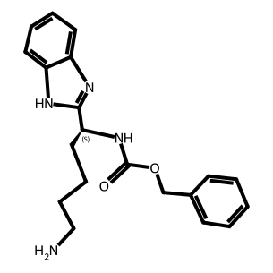 NCCCC[C@H](NC(=O)OCc1ccccc1)c1nc2ccccc2[nH]1